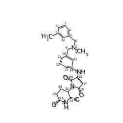 Cc1cccc(CN(C)Cc2cccc(NC3=CC(=O)N(C4CCC(=O)NC4=O)C3=O)c2)c1